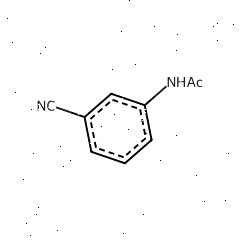 [CH2]C(=O)Nc1cccc(C#N)c1